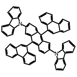 c1ccc2c(c1)cc(-c1c3ccc(-n4c5ccccc5c5ccccc54)cc3c(-c3cc4ccccc4c4ccccc34)c3ccc(-n4c5ccccc5c5ccccc54)cc13)c1ccccc12